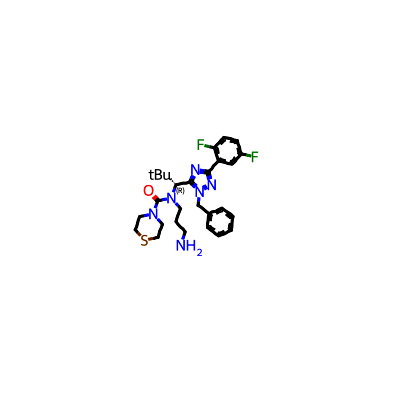 CC(C)(C)[C@H](c1nc(-c2cc(F)ccc2F)nn1Cc1ccccc1)N(CCCN)C(=O)N1CCSCC1